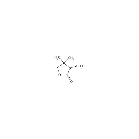 CC1(C)COS(=O)N1C(=O)O